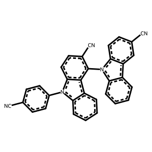 N#Cc1ccc(-n2c3ccccc3c3c(-n4c5ccccc5c5cc(C#N)ccc54)c(C#N)ccc32)cc1